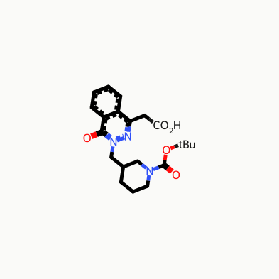 CC(C)(C)OC(=O)N1CCCC(Cn2nc(CC(=O)O)c3ccccc3c2=O)C1